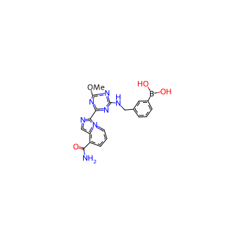 COc1nc(NCc2cccc(B(O)O)c2)nc(-c2ncc3c(C(N)=O)cccn23)n1